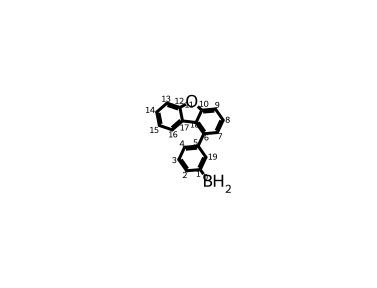 Bc1cccc(-c2cccc3oc4ccccc4c23)c1